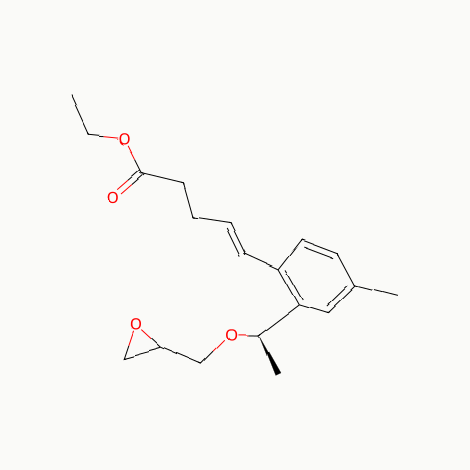 CCOC(=O)CC/C=C/c1ccc(C)cc1[C@@H](C)OCC1CO1